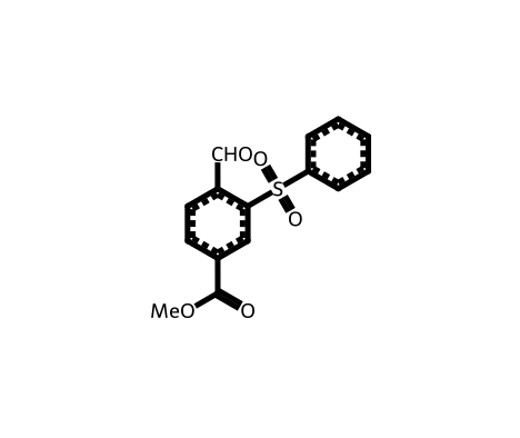 COC(=O)c1ccc(C=O)c(S(=O)(=O)c2ccccc2)c1